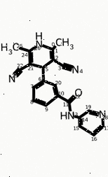 CC1=C(C#N)C(c2cccc(C(=O)Nc3cccnc3)c2)C(C#N)=C(C)N1